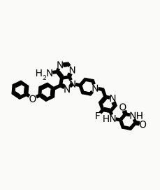 Nc1ncnc2c1c(-c1ccc(Oc3ccccc3)cc1)nn2C1CCN(Cc2cc(F)c(NC3CCC(=O)NC3=O)cn2)CC1